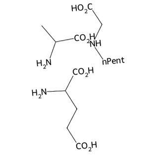 CC(N)C(=O)O.CCCCCNCC(=O)O.NC(CCC(=O)O)C(=O)O